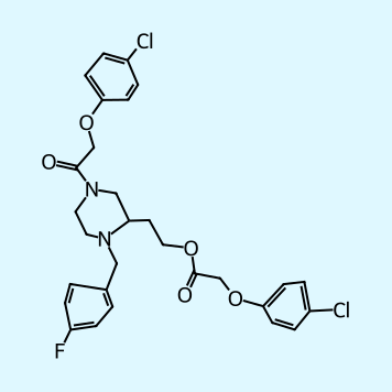 O=C(COc1ccc(Cl)cc1)OCCC1CN(C(=O)COc2ccc(Cl)cc2)CCN1Cc1ccc(F)cc1